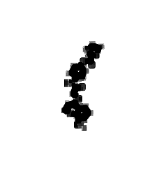 O=C(COc1ccnc2c(C(F)(F)F)cccc12)Nc1ccc(OC(=O)c2nccs2)cc1